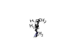 C=CSC1=C(C)C=CC(c2ccc3c(c2)N(C)C2=C(C=CC(c4cccc(S/C=N\C)c4)=CC2)O3)CC1